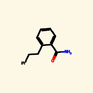 CC(C)CCc1ccccc1C(N)=O